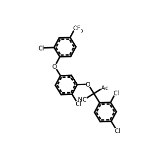 CC(=O)C(C#N)(Oc1cc(Oc2ccc(C(F)(F)F)cc2Cl)ccc1Cl)c1ccc(Cl)cc1Cl